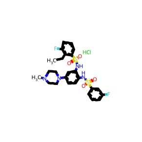 CCc1c(F)cccc1S(=O)(=O)Nc1cc(N2CCN(C)CC2)ccc1NS(=O)(=O)c1cccc(F)c1.Cl